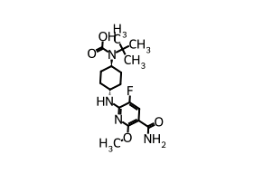 COc1nc(N[C@H]2CC[C@H](N(C(=O)O)C(C)(C)C)CC2)c(F)cc1C(N)=O